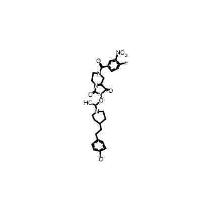 O=C(c1ccc(F)c([N+](=O)[O-])c1)N1CCN2C(=O)N(OC(O)N3CCC(CCc4ccc(Cl)cc4)CC3)C(=O)C2C1